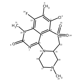 Cc1c(Cl)c2c3c(nc(=O)n(C)c3c1F)N1CCN(C)CC1CS2(=O)=O